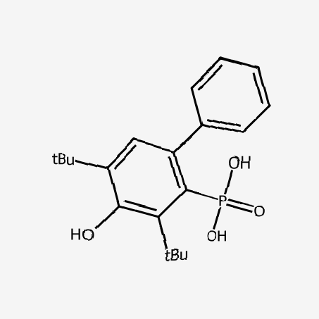 CC(C)(C)c1cc(-c2ccccc2)c(P(=O)(O)O)c(C(C)(C)C)c1O